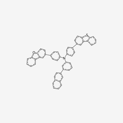 c1cc(-c2ccc3ccccc3c2)cc(N(c2ccc(-c3ccc4oc5ccccc5c4c3)cc2)c2ccc(-c3ccc4sc5ccccc5c4c3)cc2)c1